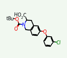 CC(C)(C)OC(=O)N1Cc2ccc(Oc3cccc(Cl)c3)cc2CC1C(=O)O